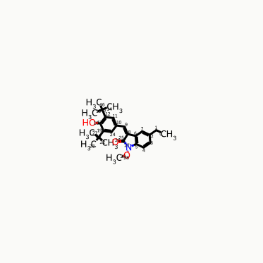 CCc1ccc2c(c1)C(=Cc1cc(C(C)(C)C)c(O)c(C(C)(C)C)c1)C(=O)N2OC